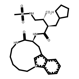 CS(=O)(=O)NC[C@H](C(=O)O)[C@@H](CC1CCCC1)C(=O)N[C@H]1Cc2cn(c3ccccc23)CCCCCNC1=O